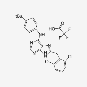 CC(C)(C)c1ccc(Nc2ncnc3[nH]c(Cc4c(Cl)cccc4Cl)nc23)cc1.O=C(O)C(F)(F)F